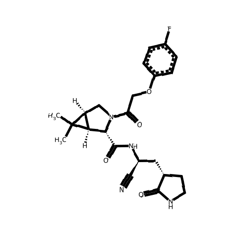 CC1(C)[C@@H]2[C@@H](C(=O)N[C@H](C#N)C[C@@H]3CCNC3=O)N(C(=O)COc3ccc(F)cc3)C[C@@H]21